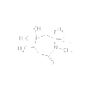 CC1CC(=O)N(C)C(C)(C)CC1(C)C